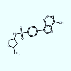 CC1CC(NS(=O)(=O)c2ccc(-c3cnn4c(O)ncnc34)cc2)CO1